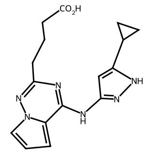 O=C(O)CCCc1nc(Nc2cc(C3CC3)[nH]n2)c2cccn2n1